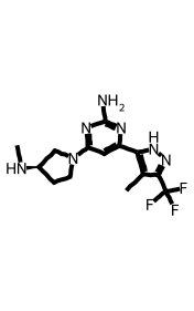 CN[C@@H]1CCN(c2cc(-c3[nH]nc(C(F)(F)F)c3C)nc(N)n2)C1